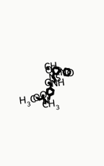 COCC(=O)N(C)Cc1ccc(C(=O)Nc2nc3c(OC)ccc(N4CCOCC4)c3s2)cc1